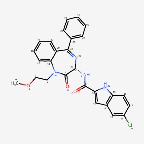 COCCN1C(=O)[C@@H](NC(=O)c2cc3cc(Cl)ccc3[nH]2)N=C(c2ccccc2)c2ccccc21